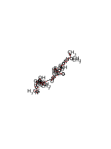 Cc1ncsc1-c1ccc(CNC(=O)[C@@H]2C[C@@H](O)CN2C(=O)[C@@H](NC(=O)CCCCCC(=O)N2CCN(CC[C@H](CSc3ccccc3)Nc3ccc(S(=O)(=O)NC(=O)c4ccc(N5CCN(CC6=C(C78CC(C)(C7)C8)CC(C)(C)CC6)CC5)cc4)cc3S(=O)(=O)C(F)(F)F)CC2)C(C)(C)C)cc1